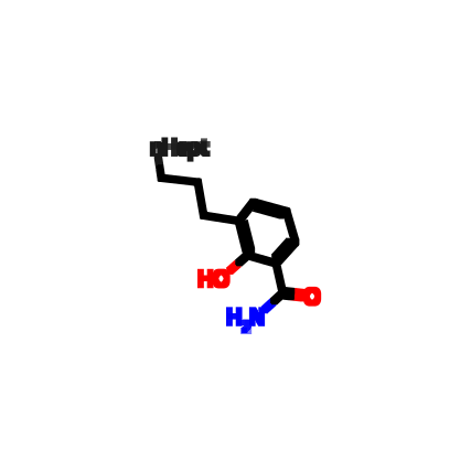 CCCCCCCCCCc1cccc(C(N)=O)c1O